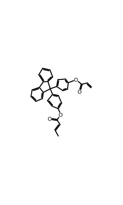 C=CC(=O)Oc1ccc(C2(c3ccc(OC(=O)/C=C/C)cc3)c3ccccc3-c3ccccc32)cc1